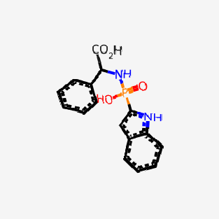 O=C(O)C(NP(=O)(O)c1cc2ccccc2[nH]1)c1ccccc1